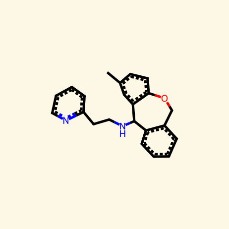 Cc1ccc2c(c1)C(NCCc1ccccn1)c1ccccc1CO2